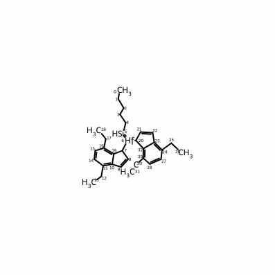 CCCCC[SiH]=[Hf]([CH]1C=Cc2c(CC)ccc(CC)c21)[CH]1C=Cc2c(CC)ccc(CC)c21